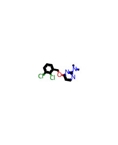 CN(C)c1nccc(OCc2cccc(Cl)c2Cl)n1